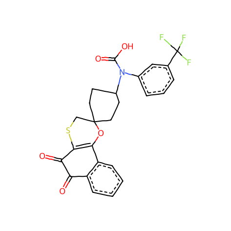 O=C1C(=O)c2ccccc2C2=C1SCC1(CCC(N(C(=O)O)c3cccc(C(F)(F)F)c3)CC1)O2